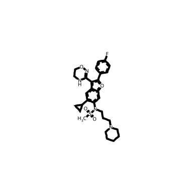 CS(=O)(=O)N(CCCN1CCCCC1)c1cc2oc(-c3ccc(F)cc3)c(C3=NOCCN3)c2cc1C1CC1